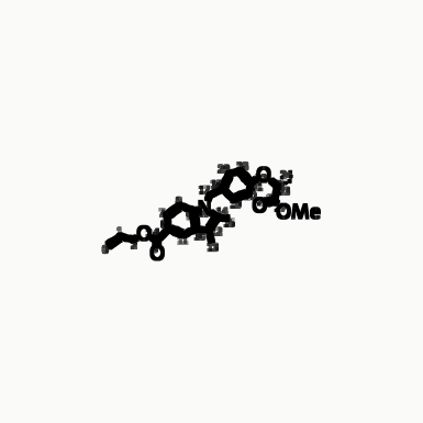 C=CCOC(=O)c1ccc2c(c1)c(C)c(C)n2Cc1ccc(O[C@H](C)C(=O)OC)cc1